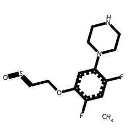 C.O=S=CCOc1cc(N2CCNCC2)c(F)cc1F